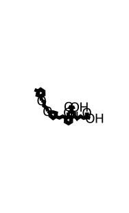 Cc1cccc(OCCCOc2ccc(CCc3cccc4c3OC(C(=O)O)CN4CCCC(=O)O)cc2)c1